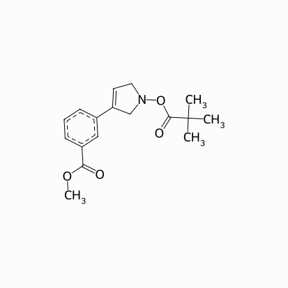 COC(=O)c1cccc(C2=CCN(OC(=O)C(C)(C)C)C2)c1